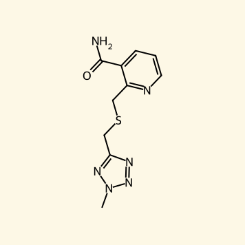 Cn1nnc(CSCc2ncccc2C(N)=O)n1